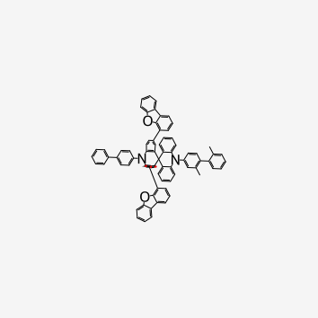 Cc1ccccc1-c1ccc(N2c3ccccc3C3(c4ccccc42)c2cc(-c4cccc5c4oc4ccccc45)ccc2N(c2ccc(-c4ccccc4)cc2)c2ccc(-c4cccc5c4oc4ccccc45)cc23)cc1C